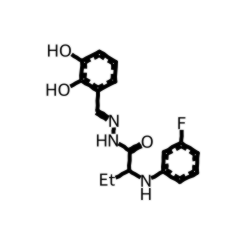 CCC(Nc1cccc(F)c1)C(=O)NN=Cc1cccc(O)c1O